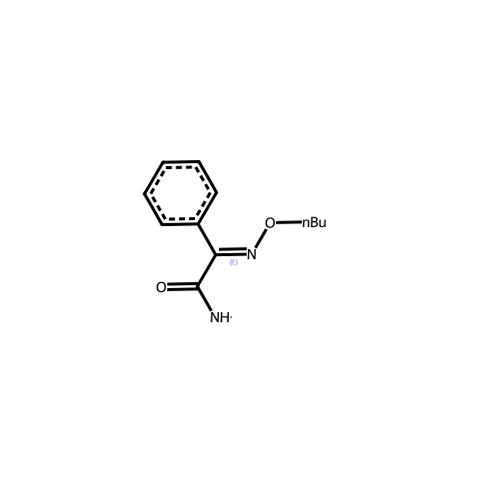 CCCCO/N=C(/C([NH])=O)c1ccccc1